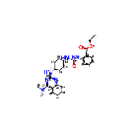 CCOC(=O)c1ccccc1NC(=O)N[C@H]1CC[C@@H](Nc2nc3c(c(N(C)C)n2)CCCC3)CC1